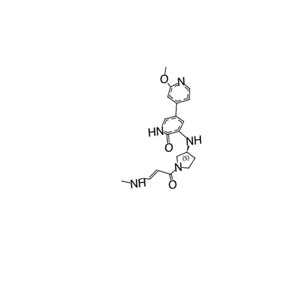 CNCC=CC(=O)N1CC[C@H](Nc2cc(-c3ccnc(OC)c3)c[nH]c2=O)C1